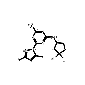 Cc1cc(C)n(-c2nc(NC3CCC(F)(F)C3)cc(C(F)(F)F)n2)n1